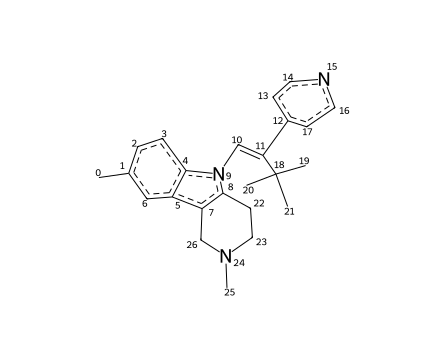 Cc1ccc2c(c1)c1c(n2C=C(c2ccncc2)C(C)(C)C)CCN(C)C1